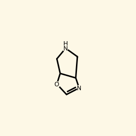 C1=NC2CNCC2O1